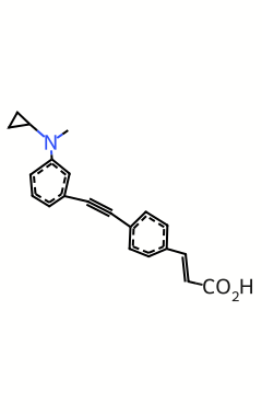 CN(c1cccc(C#Cc2ccc(/C=C/C(=O)O)cc2)c1)C1CC1